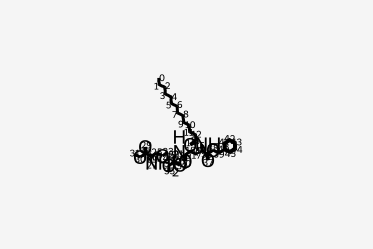 CCCCCCCCCCCCCC(=O)N[C@H](CCC(=O)N[C@@H](COC[C@@H](N)C(=O)OC)C(=O)OC)C(=O)OCc1ccccc1